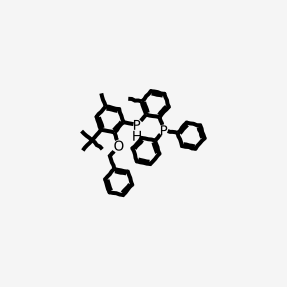 Cc1cc(Pc2c(C)cccc2P(c2ccccc2)c2ccccc2)c(OCc2ccccc2)c(C(C)(C)C)c1